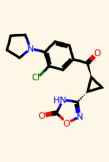 O=C(c1ccc(N2CCCC2)c(Cl)c1)[C@H]1C[C@@H]1c1noc(=O)[nH]1